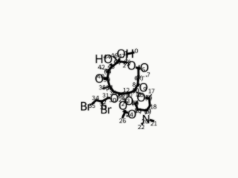 CC[C@H]1OC(=O)[C@H](C)C(=O)[C@H](C)[C@@H](O[C@@H]2O[C@H](C)C[C@H](N(C)C)[C@H]2OC(C)=O)[C@@](C)(OCC(Br)CBr)C[C@@H](C)C(=O)[C@H](C)C(O)[C@]1(C)O